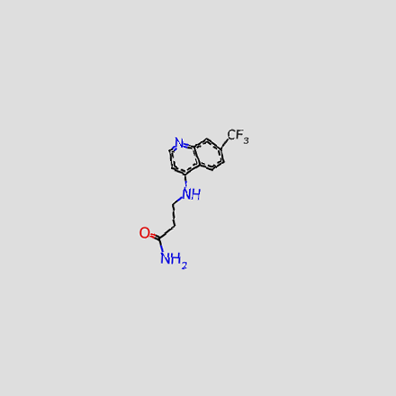 NC(=O)CCNc1ccnc2cc(C(F)(F)F)ccc12